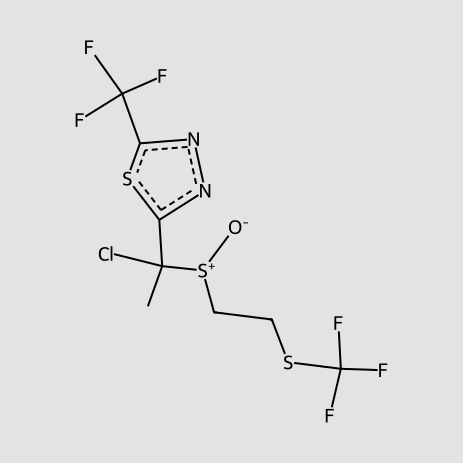 CC(Cl)(c1nnc(C(F)(F)F)s1)[S+]([O-])CCSC(F)(F)F